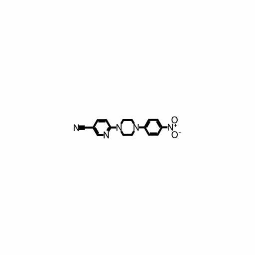 N#Cc1ccc(N2CCN(c3ccc([N+](=O)[O-])cc3)CC2)nc1